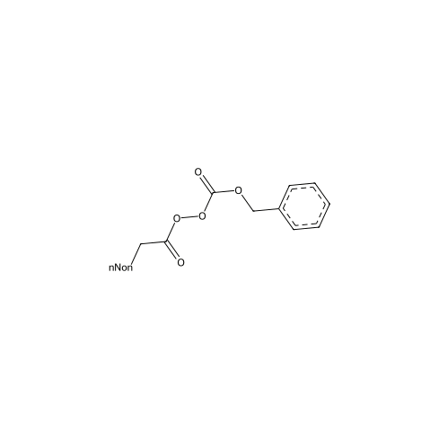 CCCCCCCCCCC(=O)OOC(=O)OCc1ccccc1